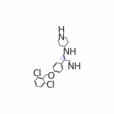 N=C/C(=C\NC1CCNCC1)c1ccc(OCc2c(Cl)cccc2Cl)cc1